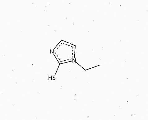 CCn1ccnc1S